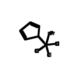 CC[CH2][Zr]([Cl])([Cl])([Cl])[CH]1C=CC=C1